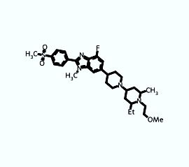 CCC1CC(N2CCC(c3cc(F)c4nc(-c5ccc(S(C)(=O)=O)cc5)n(C)c4c3)CC2)CC(C)N1CCOC